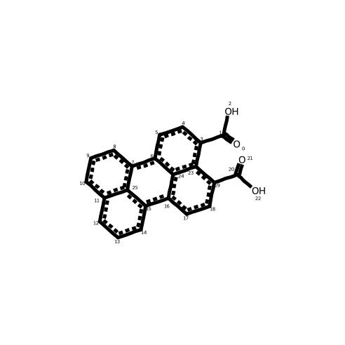 O=C(O)c1ccc2c3cccc4cccc(c5ccc(C(=O)O)c1c25)c43